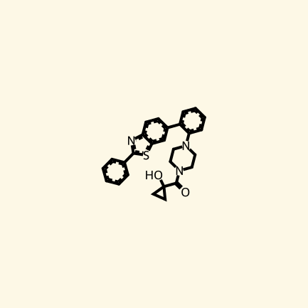 O=C(N1CCN(c2ccccc2-c2ccc3nc(-c4ccccc4)sc3c2)CC1)C1(O)CC1